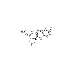 COC(=O)C1CCCN1C(=O)Cc1ccc(Cl)cc1Cl